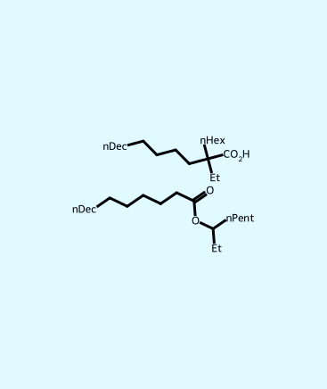 CCCCCCCCCCCCCCC(CC)(CCCCCC)C(=O)O.CCCCCCCCCCCCCCCC(=O)OC(CC)CCCCC